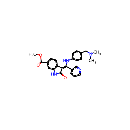 COC(=O)c1ccc2c(c1)NC(=O)C2=C(Nc1ccc(CN(C)C)cc1)c1cccnc1